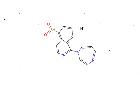 O=[SH](=O)c1cccc2c(N3C=CC=NC=C3)nccc12.[H+]